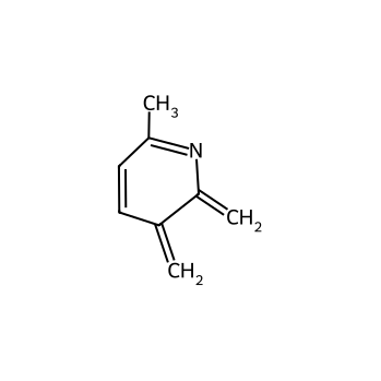 C=c1ccc(C)nc1=C